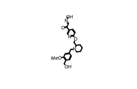 COc1cc(CN2CCCCC2COc2ccc(C(=O)/C=N/O)cn2)ccc1CO